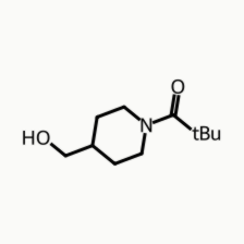 CC(C)(C)C(=O)N1CCC(CO)CC1